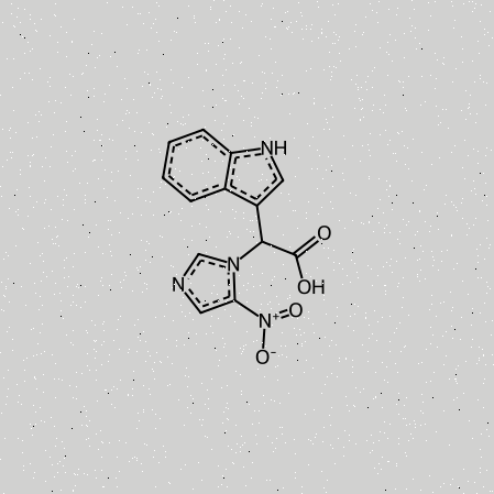 O=C(O)C(c1c[nH]c2ccccc12)n1cncc1[N+](=O)[O-]